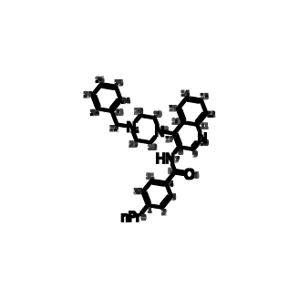 CCCc1ccc(C(=O)Nc2cnc3ccccc3c2N2CCN(Cc3ccccc3)CC2)cc1